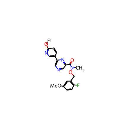 CCOc1ccc(-c2cncc(C(=O)N(C)OCc3cc(OC)ccc3F)n2)cn1